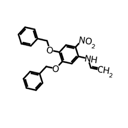 C=CNc1cc(OCc2ccccc2)c(OCc2ccccc2)cc1[N+](=O)[O-]